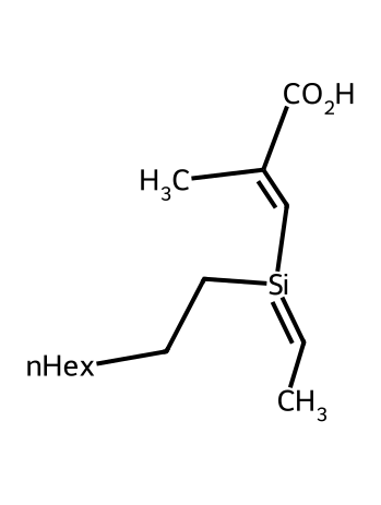 CC=[Si](C=C(C)C(=O)O)CCCCCCCC